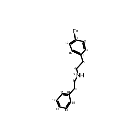 Fc1ccc(CCNCCc2ccccc2)cc1